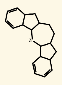 C1=CC2CC3CCC4CC5C=CC=CC5[CH]4[Zr][CH]3C2C=C1